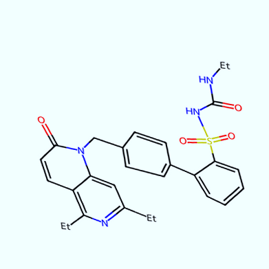 CCNC(=O)NS(=O)(=O)c1ccccc1-c1ccc(Cn2c(=O)ccc3c(CC)nc(CC)cc32)cc1